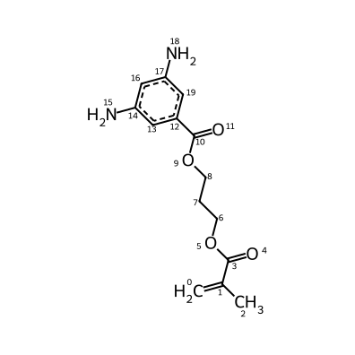 C=C(C)C(=O)OCCCOC(=O)c1cc(N)cc(N)c1